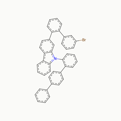 Brc1cccc(-c2ccccc2-c2ccc3c4ccccc4n(-c4ccccc4-c4ccc(-c5ccccc5)cc4)c3c2)c1